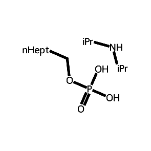 CC(C)NC(C)C.CCCCCCCCOP(=O)(O)O